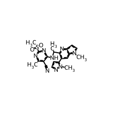 Cc1nc(S(C)(=O)=O)nc(NC(C)c2nc3ccn(C)c3cc2-c2ccnn2C)c1C#N